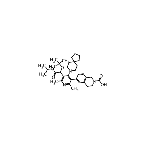 Cc1nc(C)c(C(OC(C)(C)C)C(=O)OC(C)C)c(N2CCC3(CCCC3)CC2)c1-c1ccc2c(c1)CCN(C(=O)O)C2